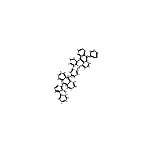 c1ccc(-c2c3ccccc3c(-c3cccc4c3oc3ccc(-c5c6ccccc6c(-c6cccc7c6oc6ccccc67)c6ccccc56)cc34)c3ccccc23)cc1